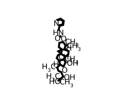 C[C@@H]1CC(C(O)C(C)(C)O)OC2[C@H]1C1(C)CCC34CC35CCC(OC(=O)NCc3ccccn3)C(C)(C)[C@@H]5CCC4[C@]1(C)[C@H]2O